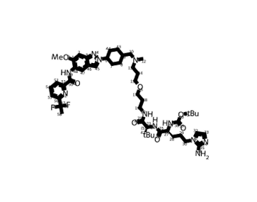 COc1cc2nn(C3CCC(CN(C)CCCOCCCNC(=O)[C@@H](NC(=O)[C@H](CCCn4ccnc4N)NC(=O)OC(C)(C)C)C(C)(C)C)CC3)cc2cc1NC(=O)c1cccc(C(C)(F)F)n1